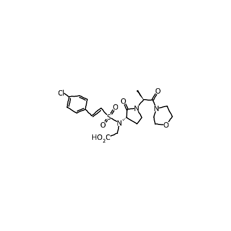 C[C@@H](C(=O)N1CCOCC1)N1CC[C@H](N(CC(=O)O)S(=O)(=O)C=Cc2ccc(Cl)cc2)C1=O